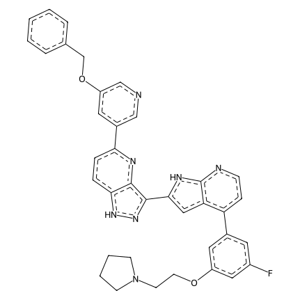 Fc1cc(OCCN2CCCC2)cc(-c2ccnc3[nH]c(-c4n[nH]c5ccc(-c6cncc(OCc7ccccc7)c6)nc45)cc23)c1